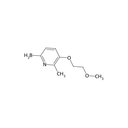 Bc1ccc(OCCOC)c(C)n1